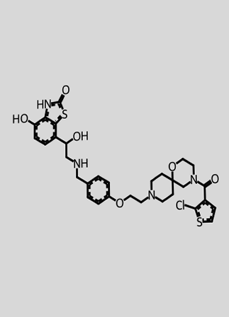 O=C(c1ccsc1Cl)N1CCOC2(CCN(CCOc3ccc(CNCC(O)c4ccc(O)c5[nH]c(=O)sc45)cc3)CC2)C1